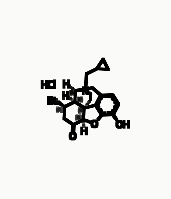 CC[C@@H]1CC(=O)[C@@H]2Oc3c(O)ccc4c3[C@@]23CCN(CC2CC2)[C@H](C4)[C@H]13.Cl